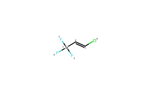 F[Si](F)(F)/C=C/Cl